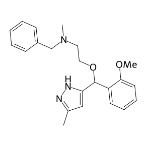 COc1ccccc1C(OCCN(C)Cc1ccccc1)c1cc(C)n[nH]1